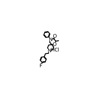 CC1OC2(CCN(CCc3ccc(F)cc3)CC2)CN(c2ccccc2)C1=O.Cl